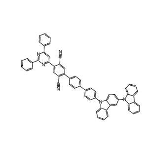 N#Cc1cc(-c2cc(-c3ccccc3)nc(-c3ccccc3)n2)c(C#N)cc1-c1ccc(-c2ccc(-n3c4ccccc4c4cc(-n5c6ccccc6c6ccccc65)ccc43)cc2)cc1